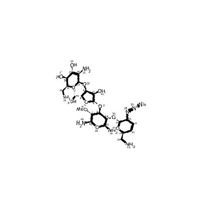 CO[C@@H]1[C@@H](O[C@@H]2O[C@H](CO)[C@@H](O[C@H]3O[C@@H](CN)[C@@H](O)[C@H](O)[C@H]3N)[C@H]2O)[C@H](O[C@H]2O[C@H](CN)CCC2N=[N+]=[N-])[C@@H](N)O[C@H]1N